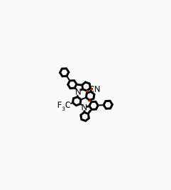 N#Cc1cccc(-c2c(-n3c4ccccc4c4cc(-c5ccccc5)ccc43)cc(C(F)(F)F)cc2-n2c3ccccc3c3cc(-c4ccccc4)ccc32)c1